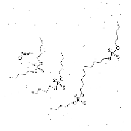 CCCCCOP(=S)([S-])OCCCCC.CCCCCOP(=S)([S-])OCCCCC.CCCCCOP(=S)([S-])OCCCCC.CCCCCOP(=S)([S-])OCCCCC.[O]=[Mo+4]